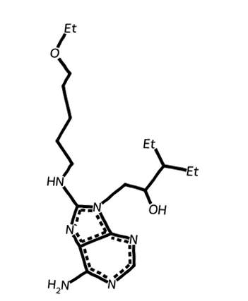 CCOCCCCCNc1nc2c(N)ncnc2n1CC(O)C(CC)CC